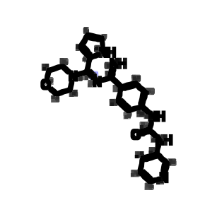 N=C(/N=C(\c1ccc[nH]1)N1CCOCC1)c1ccc(NC(=O)Nc2cccnc2)cc1